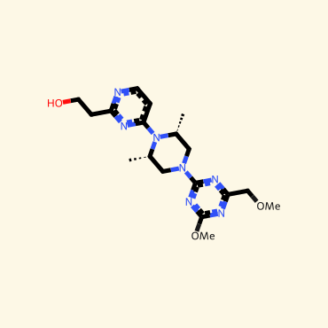 COCc1nc(OC)nc(N2C[C@@H](C)N(c3ccnc(CCO)n3)[C@@H](C)C2)n1